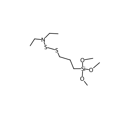 CCN(CC)SSCCC[Si](OC)(OC)OC